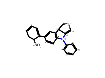 O=[N+]([O-])C1CC=CC=C1c1ccc2c(c1)C1CSC=C1N2c1ccccc1